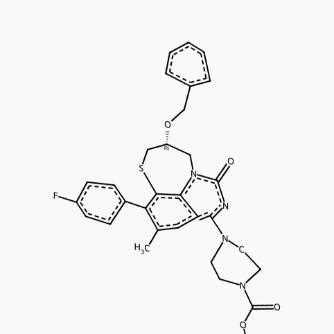 Cc1cc2c(N3CCN(C(=O)OC(C)(C)C)CC3)nc(=O)n3c2c(c1-c1ccc(F)cc1)SC[C@H](OCc1ccccc1)C3